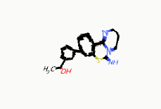 CC(O)c1cccc(-c2ccc3c(c2)SC(=N)N2CCCN=C32)c1